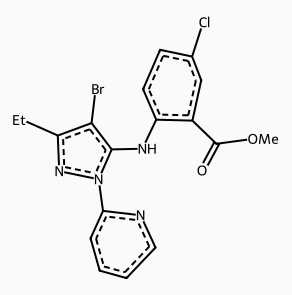 CCc1nn(-c2ccccn2)c(Nc2ccc(Cl)cc2C(=O)OC)c1Br